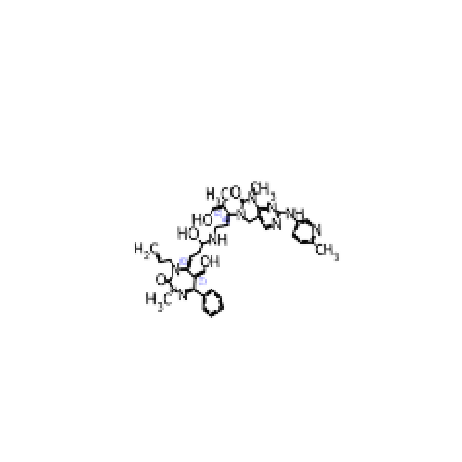 C=CCN1C(=O)[C@H](C)N=C(c2ccccc2)C(=C/O)/C1=C\CC(O)NC/C=C(\C(C)=C/O)N1Cc2cnc(Nc3ccc(C)nc3)nc2N(C)C1=O